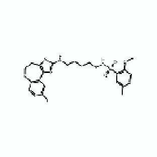 COc1ccc(C)cc1S(=O)(=O)NCCCCCNc1nc2c(s1)CCSc1ccc(F)cc1-2